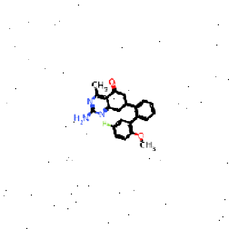 COc1ccc(F)cc1-c1ccccc1C1CC(=O)c2c(C)nc(N)nc2C1